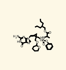 CCCC(CCC)COC(=O)C(C)N[P@](=O)(OCC1(COC2CCCCO2)C/C1=C/n1cnc2c(=O)[nH]c(N)nc21)Oc1ccccc1